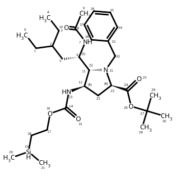 CCC(CC)C[C@H](NC(C)=O)[C@H]1[C@H](NC(=O)OCC[SiH](C)C)C[C@H](C(=O)OC(C)(C)C)N1Cc1ccccc1